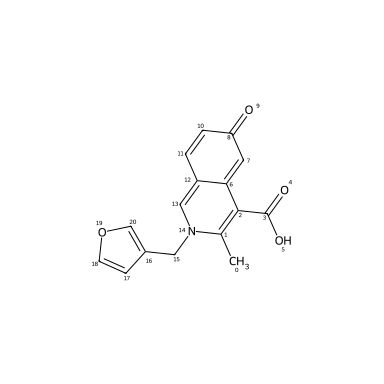 Cc1c(C(=O)O)c2cc(=O)ccc-2cn1Cc1ccoc1